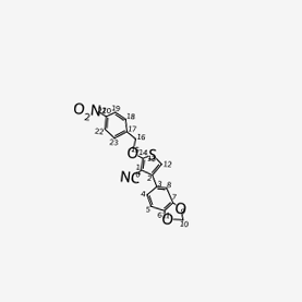 N#Cc1c(-c2ccc3c(c2)OCO3)csc1OCc1ccc([N+](=O)[O-])cc1